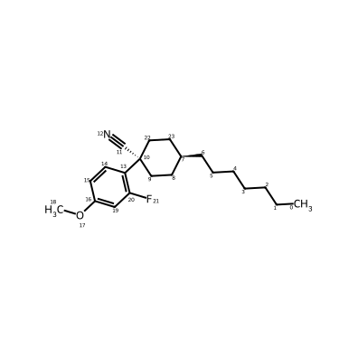 CCCCCCC[C@H]1CC[C@@](C#N)(c2ccc(OC)cc2F)CC1